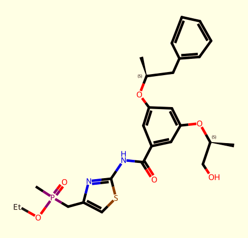 CCOP(C)(=O)Cc1csc(NC(=O)c2cc(O[C@@H](C)CO)cc(O[C@@H](C)Cc3ccccc3)c2)n1